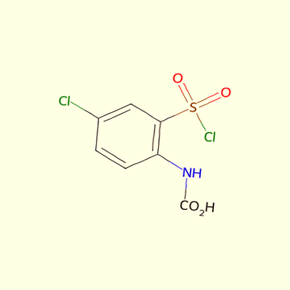 O=C(O)Nc1ccc(Cl)cc1S(=O)(=O)Cl